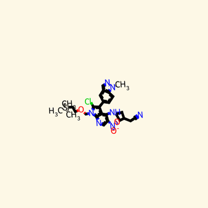 Cn1ncc2cc(-c3c(Cl)n(COCC[Si](C)(C)C)c4ncc([N+](=O)[O-])c(NC5CC(CC#N)C5)c34)ccc21